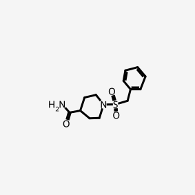 NC(=O)C1CCN(S(=O)(=O)Cc2ccccc2)CC1